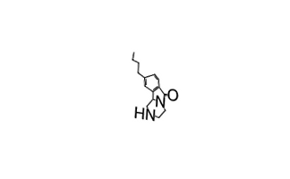 CCCCc1ccc2c(c1)C1CNCCN1C2=O